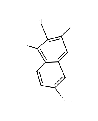 Nc1ccc2c(F)c(N)c(F)cc2c1